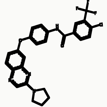 O=C(Nc1ccc(Oc2ccc3ncc(N4CCCC4)nc3c2)cc1)c1ccc(Cl)c(C(F)(F)F)c1